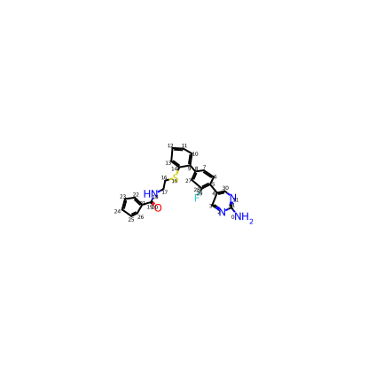 Nc1ncc(-c2ccc(-c3ccccc3SCCNC(=O)c3ccccc3)cc2F)cn1